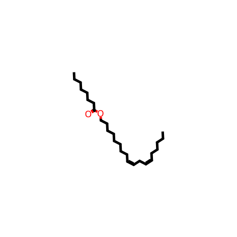 CCCCC/C=C\C/C=C\CCCCCCCCOC(=O)CCCCCCC